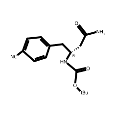 CC(C)(C)OC(=O)N[C@@H](CC(N)=O)Cc1ccc(C#N)cc1